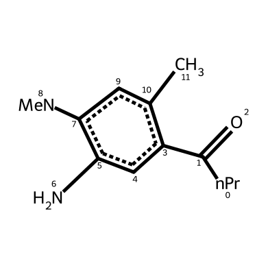 CCCC(=O)c1cc(N)c(NC)cc1C